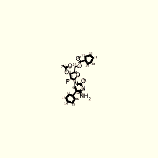 CC(=O)O[C@H]1[C@@H](F)[C@H](n2cc(-c3ccccc3)c(N)nc2=O)O[C@@H]1COC(=O)c1ccccc1